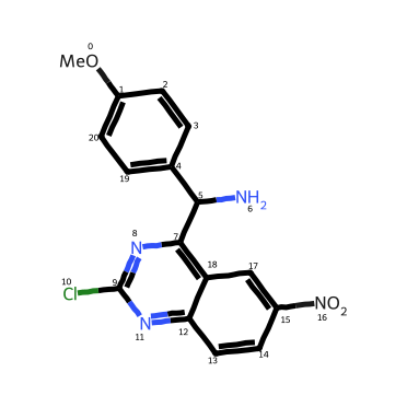 COc1ccc(C(N)c2nc(Cl)nc3ccc([N+](=O)[O-])cc23)cc1